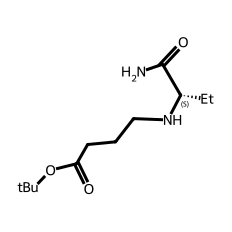 CC[C@H](NCCCC(=O)OC(C)(C)C)C(N)=O